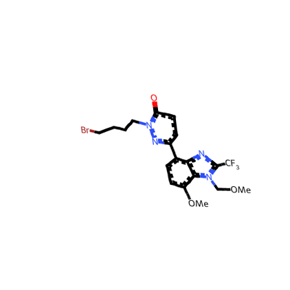 COCn1c(C(F)(F)F)nc2c(-c3ccc(=O)n(CCCCBr)n3)ccc(OC)c21